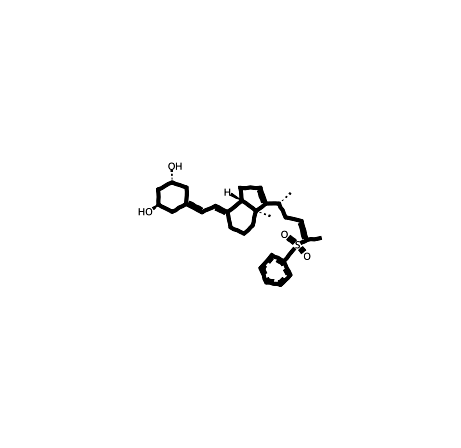 C/C(=C/C[C@@H](C)C1=CC[C@H]2/C(=C/C=C3C[C@@H](O)C[C@H](O)C3)CCC[C@]12C)S(=O)(=O)c1ccccc1